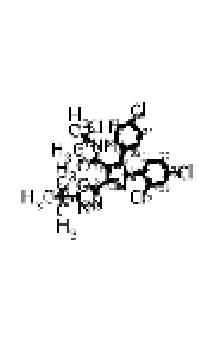 CC(C)(C)NC(=O)c1c(-c2nnc(C(C)(C)C)o2)nn(-c2ccc(Cl)cc2Cl)c1-c1ccc(Cl)cc1